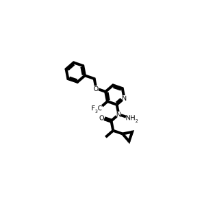 CC(C(=O)N(N)c1nccc(OCc2ccccc2)c1C(F)(F)F)C1CC1